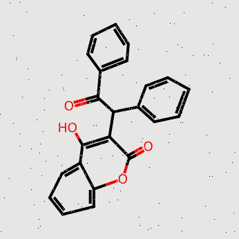 O=C(c1ccccc1)C(c1ccccc1)c1c(O)c2ccccc2oc1=O